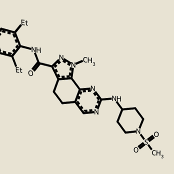 CCc1cccc(CC)c1NC(=O)c1nn(C)c2c1CCc1cnc(NC3CCN(S(C)(=O)=O)CC3)nc1-2